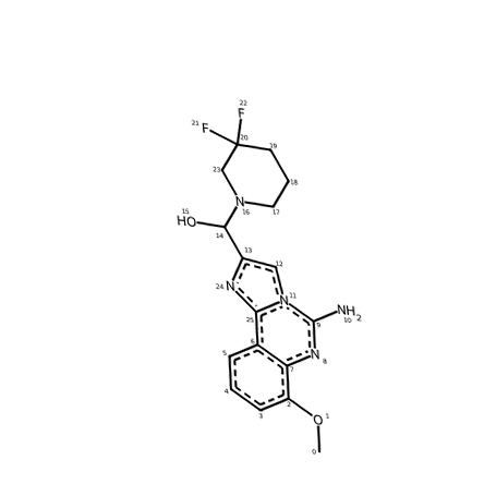 COc1cccc2c1nc(N)n1cc(C(O)N3CCCC(F)(F)C3)nc21